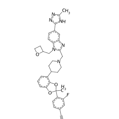 Cc1nnc(-c2ccc3c(c2)nc(CN2CCC(c4cccc5c4OC(C)(c4ccc(C#N)cc4F)O5)CC2)n3CC2CCO2)[nH]1